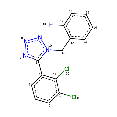 Clc1cccc(-c2nnnn2Cc2ccccc2I)c1Cl